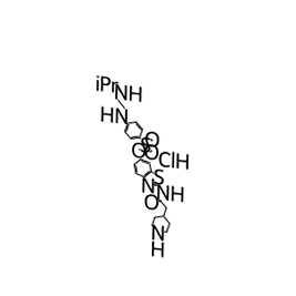 CC(C)NCCNc1ccc(S(=O)(=O)Oc2ccc3nc(NC(=O)CC4CCNCC4)sc3c2)cc1.Cl